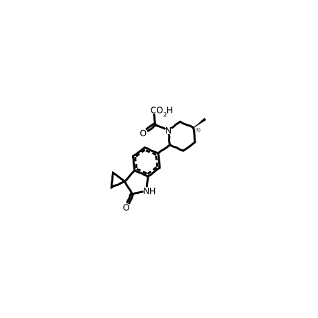 C[C@H]1CCC(c2ccc3c(c2)NC(=O)C32CC2)N(C(=O)C(=O)O)C1